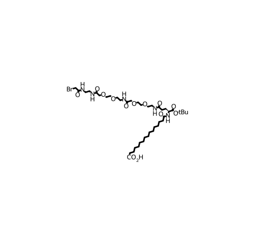 CC(C)(C)OC(=O)[C@H](CCC(=O)NCCOCCOCC(=O)NCCOCCOCC(=O)NCCNC(=O)CBr)NC(=O)CCCCCCCCCCCCCCC(=O)O